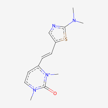 CN(C)c1ncc(C=Cc2ccn(C)c(=O)[n+]2C)s1